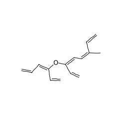 C=C/C=C(\C=C)O/C(C=C)=C/C=C(/C)C=C